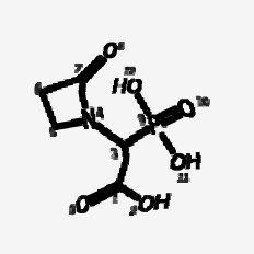 O=C(O)C(N1CCC1=O)P(=O)(O)O